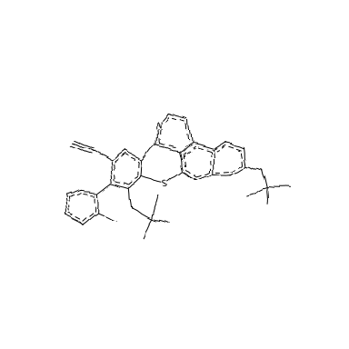 C#Cc1cc2c(c(CC(C)(C)C)c1-c1ccccc1C)Sc1cc3cc(CC(C)(C)C)ccc3c3ccnc-2c13